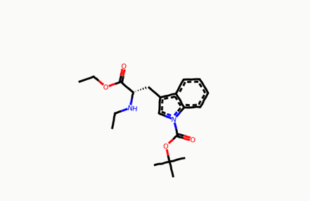 CCN[C@@H](Cc1cn(C(=O)OC(C)(C)C)c2ccccc12)C(=O)OCC